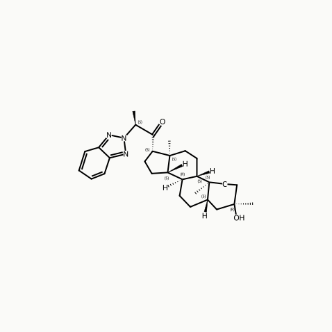 C[C@@H](C(=O)[C@H]1CC[C@H]2[C@@H]3CC[C@H]4C[C@](C)(O)CC[C@]4(C)[C@H]3CC[C@]12C)n1nc2ccccc2n1